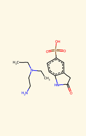 CCN(CC)CCN.O=C1Cc2cc(S(=O)(=O)O)ccc2N1